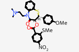 COc1ccc([C@H]2Sc3ccccc3N(CCN(C)C)C(=O)[C@H]2OC(=O)c2ccc([N+](=O)[O-])cc2SC)cc1